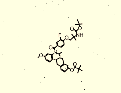 COc1ccc([C@@H]2CCc3cc(OC(=O)C(C)(C)C)ccc3C2)c(N(C(=O)c2ccc(OCC(C)(C)NC(=O)OC(C)(C)C)c(F)c2)C(C)C)c1